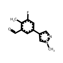 Cc1c(F)cc(-c2cnn(C)c2)cc1C=O